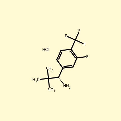 CC(C)(C)[C@@H](N)c1ccc(C(F)(F)F)c(F)c1.Cl